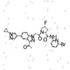 CC(=O)c1nn(CC(=O)N2C[C@H](F)C[C@H]2C(=O)Nc2cccc(Br)n2)c2ccc(-c3cnn(C4CC4)c3)cc12